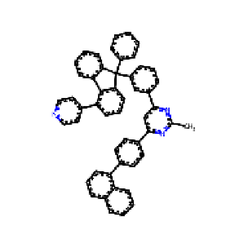 Cc1nc(-c2ccc(-c3cccc4ccccc34)cc2)cc(-c2cccc(C3(c4ccccc4)c4ccccc4-c4c(-c5ccncc5)cccc43)c2)n1